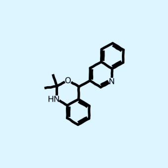 CC1(C)Nc2ccccc2C(c2cnc3ccccc3c2)O1